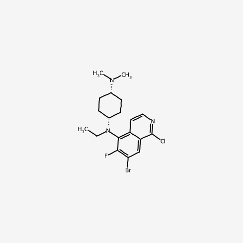 CCN(c1c(F)c(Br)cc2c(Cl)nccc12)[C@H]1CC[C@@H](N(C)C)CC1